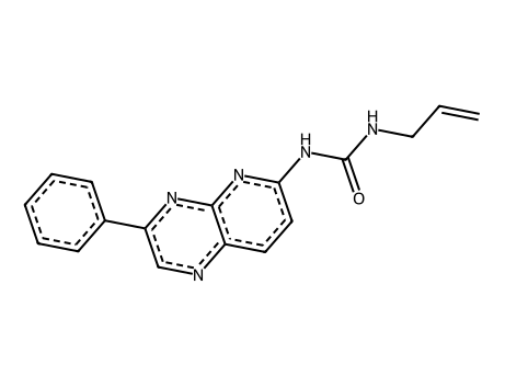 C=CCNC(=O)Nc1ccc2ncc(-c3ccccc3)nc2n1